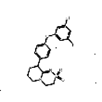 O=S1(=O)CCN2CCCC(c3ccc(Oc4cc(F)cc(Cl)c4)cc3)C2=N1